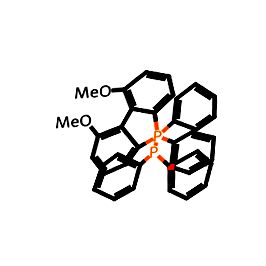 COc1cccc2c1-c1c(OC)cccc1P2(c1ccccc1)(c1ccccc1)P(c1ccccc1)c1ccccc1